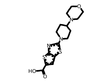 O=C(O)c1cc2sc(N3CCC(N4CCOCC4)CC3)nc2s1